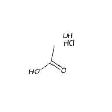 CC(=O)O.Cl.[LiH]